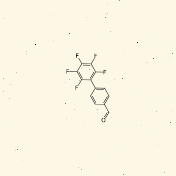 O=Cc1ccc(-c2c(F)c(F)c(F)c(F)c2F)cc1